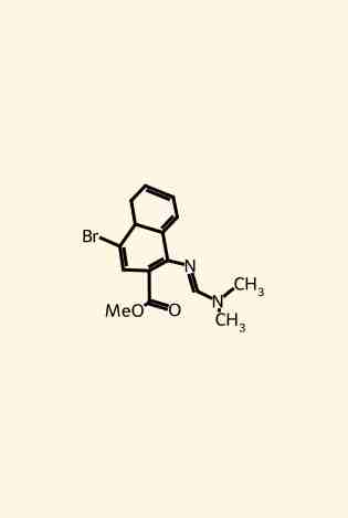 COC(=O)C1=C(/N=C/N(C)C)C2=CC=CCC2C(Br)=C1